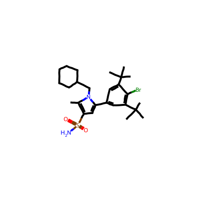 Cc1c(S(N)(=O)=O)cc(-c2cc(C(C)(C)C)c(Br)c(C(C)(C)C)c2)n1CC1CCCCC1